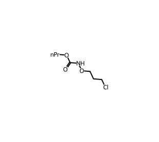 CCCOC(=O)NOCCCCl